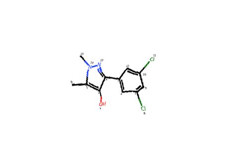 Cc1c(O)c(-c2cc(Cl)cc(Cl)c2)nn1C